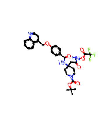 CC(C)(C)OC(=O)N1CCC(CC(=O)NOC(=O)C(F)(F)F)(NC(=O)c2ccc(OCc3ccnc4ccccc34)cc2)CC1